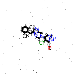 N#Cc1cccc(C(F)(F)F)c1Cc1cnc2n1CCN(C1=C(Cl)C(=C=O)NN=C1)C2